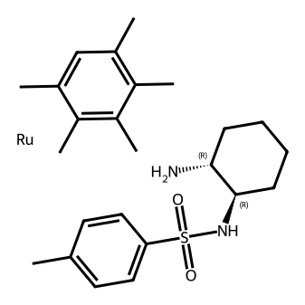 Cc1cc(C)c(C)c(C)c1C.Cc1ccc(S(=O)(=O)N[C@@H]2CCCC[C@H]2N)cc1.[Ru]